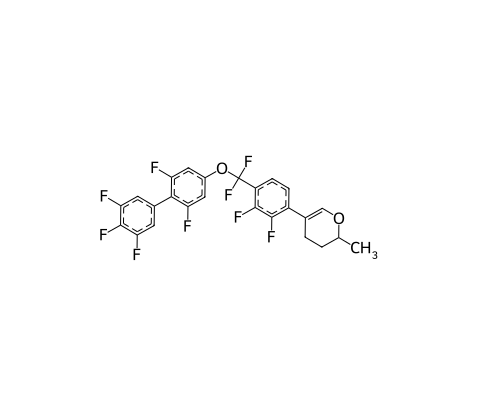 CC1CCC(c2ccc(C(F)(F)Oc3cc(F)c(-c4cc(F)c(F)c(F)c4)c(F)c3)c(F)c2F)=CO1